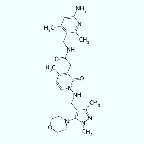 Cc1cc(N)nc(C)c1CNC(=O)Cc1c(C)ccn(NCc2c(C)nn(C)c2N2CCOCC2)c1=O